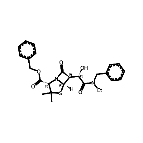 CCN(Cc1ccccc1)C(=O)[C@@H](O)[C@@H]1C(=O)N2[C@@H]1SC(C)(C)[C@@H]2C(=O)OCc1ccccc1